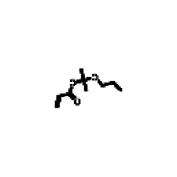 C=CC(=O)OC(C)(C)OCCC